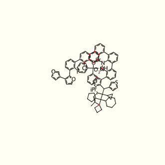 CC(C)=C[C](C(C)C)C(C1CC1)(C(c1ccsc1)c1sccc1-c1cccc(-c2cccc(-c3cccc(-c4ccc(-c5cccc(-c6occc6-c6ccoc6)c5F)c(Cl)c4OC(C)(c4ccccc4)c4ccccc4)c3Br)c2N(O)c2ccccc2)c1[N+](=O)[O-])C(C1CCCCC1)(C1CCCC1)C1CCC1